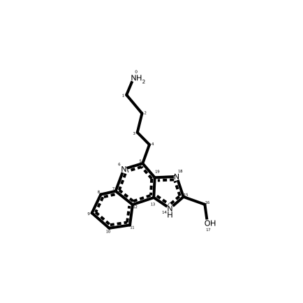 NCCCCc1nc2ccccc2c2[nH]c(CO)nc12